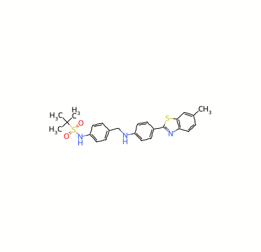 Cc1ccc2nc(-c3ccc(NCc4ccc(NS(=O)(=O)C(C)(C)C)cc4)cc3)sc2c1